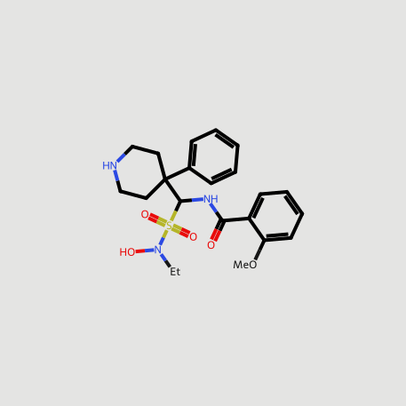 CCN(O)S(=O)(=O)C(NC(=O)c1ccccc1OC)C1(c2ccccc2)CCNCC1